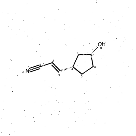 N#CC=C[C@H]1CC[C@@H](O)C1